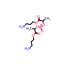 CC(O[PH](=O)OC(C)C(=O)OCCCN)C(=O)OCCCN